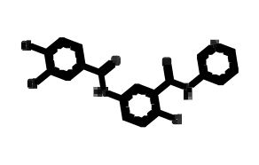 O=C(Nc1ccc(Cl)c(C(=O)Nc2cccnc2)c1)c1ccc(Cl)c(Cl)c1